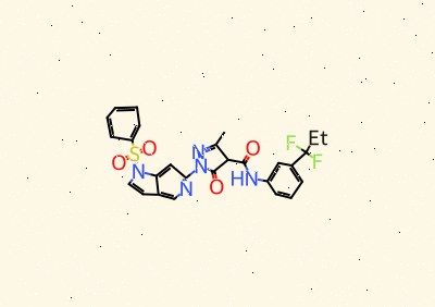 CCC(F)(F)c1cccc(NC(=O)C2C(=O)N(c3cc4c(ccn4S(=O)(=O)c4ccccc4)cn3)N=C2C)c1